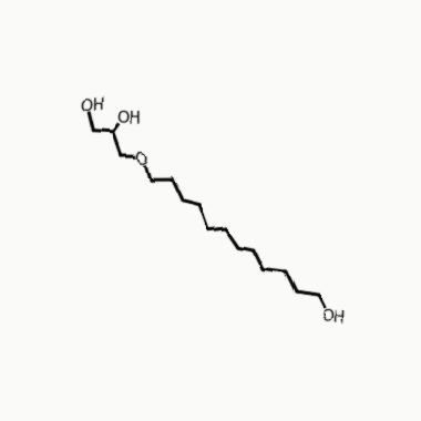 OCCCCCCCCCCCCOCC(O)CO